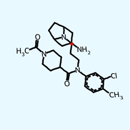 CC(=O)N1CCC(C(=O)N(CCCN2C3CCC2CC(N)C3)c2ccc(C)c(Cl)c2)CC1